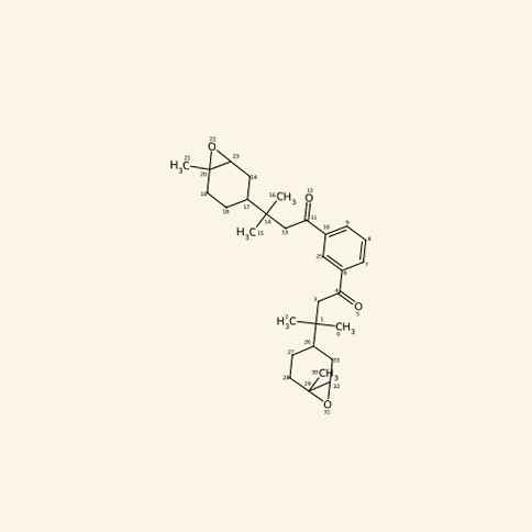 CC(C)(CC(=O)c1cccc(C(=O)CC(C)(C)C2CCC3(C)OC3C2)c1)C1CCC2(C)OC2C1